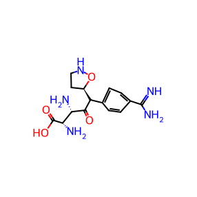 N=C(N)c1ccc(C(C(=O)[C@@H](N)[C@H](N)C(=O)O)[C@H]2CCNO2)cc1